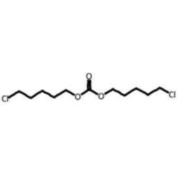 O=C(OCCCCCCl)OCCCCCCl